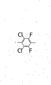 [CH2]c1c(Cl)c(F)c(C)c(F)c1Cl